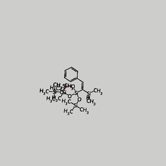 C[SiH](C)C(=Cc1ccccc1)[Si](O[SiH2]O[Si](C)(C)C)(O[Si](C)(C)C)O[Si](C)(C)C